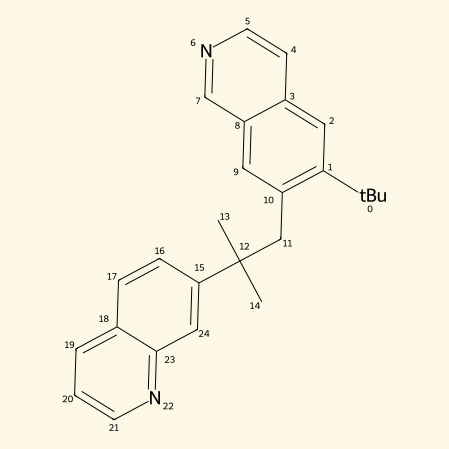 CC(C)(C)c1cc2ccncc2cc1CC(C)(C)c1ccc2cccnc2c1